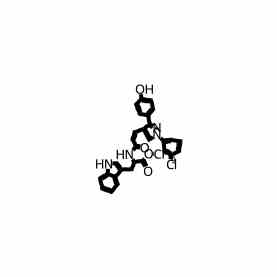 COC(=O)C(Cc1c[nH]c2ccccc12)NC(=O)/C=C\c1cn(-c2cccc(Cl)c2)nc1-c1ccc(O)cc1